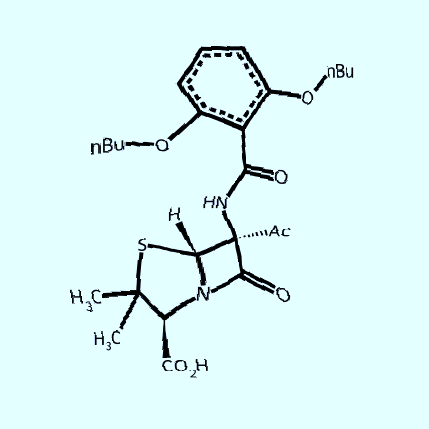 CCCCOc1cccc(OCCCC)c1C(=O)N[C@@]1(C(C)=O)C(=O)N2[C@@H](C(=O)O)C(C)(C)S[C@@H]21